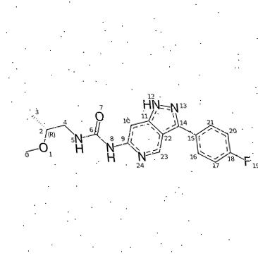 CO[C@H](C)CNC(=O)Nc1cc2[nH]nc(-c3ccc(F)cc3)c2cn1